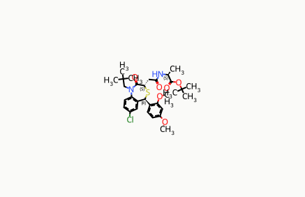 COc1ccc([C@@H]2S[C@@H](CC(=O)N[C@@H](C)C(=O)OC(C)(C)C)C(=O)N(CC(C)(C)C)c3ccc(Cl)cc32)c(OC)c1